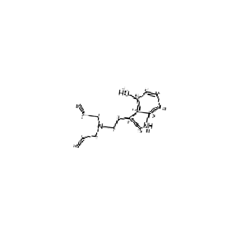 C=CCN(CC=C)CCc1c[nH]c2cccc(O)c12